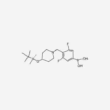 CC(C)(C)[Si](C)(C)OC1CCN(Cc2c(F)cc(B(O)O)cc2F)CC1